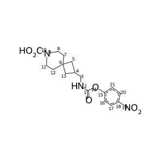 O=C(NCC1CC2(CCN(C(=O)O)CC2)C1)Oc1ccc([N+](=O)[O-])cc1